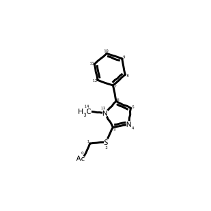 CC(=O)CSc1ncc(-c2ccccc2)n1C